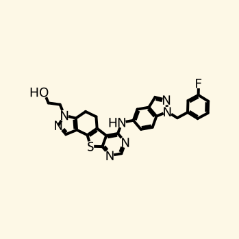 OCCn1ncc2c1CCc1c-2sc2ncnc(Nc3ccc4c(cnn4Cc4cccc(F)c4)c3)c12